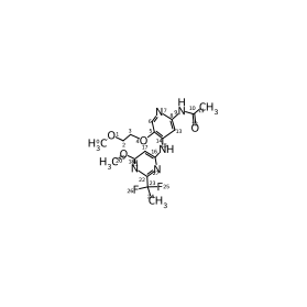 COCCOc1cnc(NC(C)=O)cc1Nc1cc(OC)nc(C(C)(F)F)n1